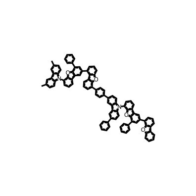 Cc1ccc2c(c1)c1cc(C)ccc1n2-c1cccc2c1oc1c(-c3ccccc3)cc(-c3cccc4oc5c(-c6ccc(-c7ccc8c(c7)c7cc(-c9ccccc9)ccc7n8-c7cccc8c7oc7c(-c9ccccc9)cc(-c9cccc%10c9oc9ccccc9%10)cc78)cc6)cccc5c34)cc12